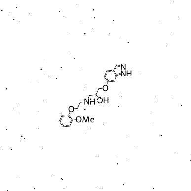 COc1ccccc1OCCNCC(O)COc1ccc2cn[nH]c2c1